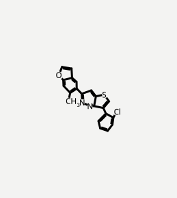 Cc1cc2occc2cc1-c1cc2scc(-c3ccccc3Cl)c2nn1